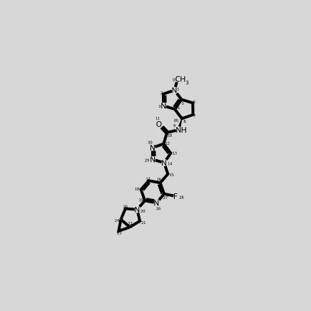 Cn1cnc2c1CC[C@H]2NC(=O)c1cn(Cc2ccc(N3CC4CC4C3)nc2F)nn1